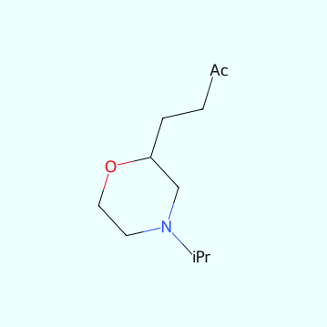 CC(=O)CCC1CN(C(C)C)CCO1